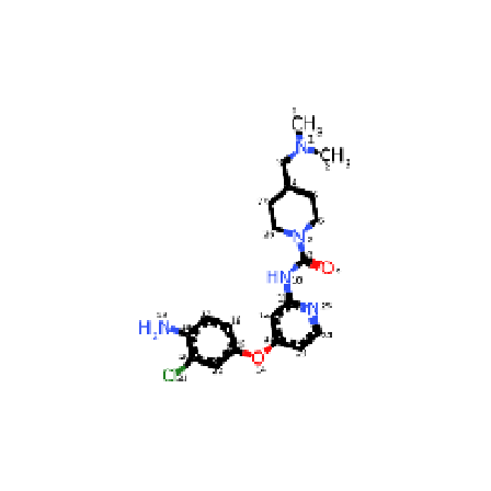 CN(C)CC1CCN(C(=O)Nc2cc(Oc3ccc(N)c(Cl)c3)ccn2)CC1